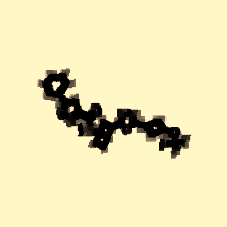 O=C(NC12CCC1C(c1nnc(C3CC(OC(F)(F)F)C3)o1)C2)C1=NO[C@@H](c2ccccc2)C1